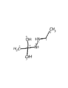 CCNNC(C)(O)O